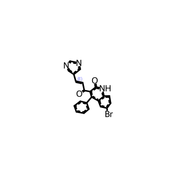 O=C(/C=C/c1cncnc1)c1c(-c2ccccc2)c2cc(Br)ccc2[nH]c1=O